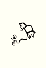 CS(=O)(=O)OCCn1ncc2c1-c1sccc1C2